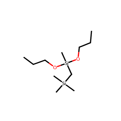 CCCO[Si](C)(C[Si](C)(C)C)OCCC